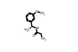 CCC(=O)N[C@@H](C)c1cccc(OC)c1